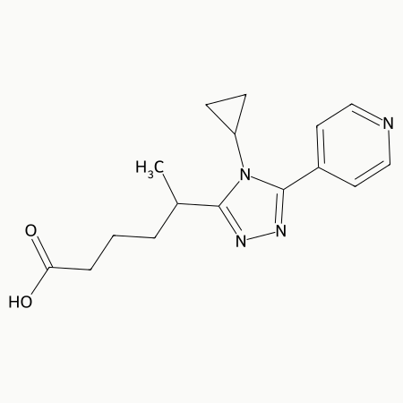 CC(CCCC(=O)O)c1nnc(-c2ccncc2)n1C1CC1